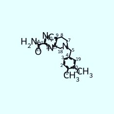 Cc1ccc(CN2CCc3[c]nc(C(N)=O)nc3C2)cc1C